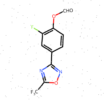 O=COc1ccc(-c2noc(C(F)(F)F)n2)cc1F